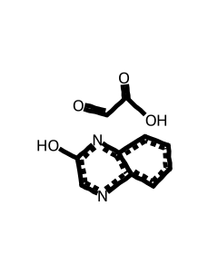 O=CC(=O)O.Oc1cnc2ccccc2n1